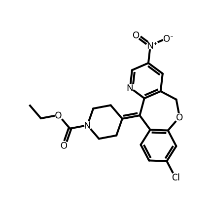 CCOC(=O)N1CCC(=C2c3ccc(Cl)cc3OCc3cc([N+](=O)[O-])cnc32)CC1